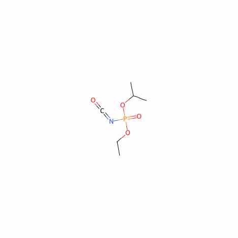 CCOP(=O)(N=C=O)OC(C)C